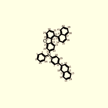 c1ccc(N(c2ccc(-c3ccc4ccccc4c3)cc2)c2ccc3c(c2)oc2cccc(-c4cccc5ccccc45)c23)cc1